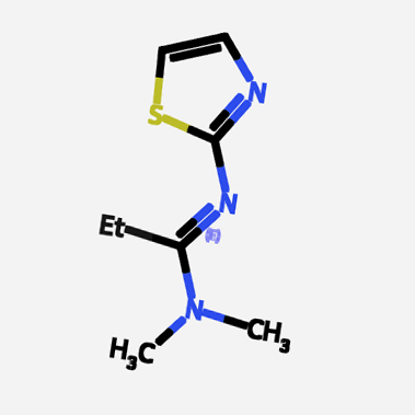 CC/C(=N\c1nccs1)N(C)C